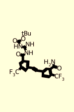 CC(C)(C)OC(=O)NC(=N)NC(=O)c1cc(C#Cc2ccc(C(F)(F)F)c(C(N)=O)c2)cc(C(F)(F)F)c1